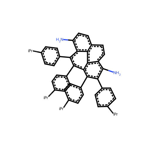 CC(C)c1ccc(-c2c(N)c3ccc4ccc(N)c5c(-c6ccc(C(C)C)cc6)c(-c6ccc(C(C)C)cc6)c(c2-c2ccc(C(C)C)cc2)c3c45)cc1